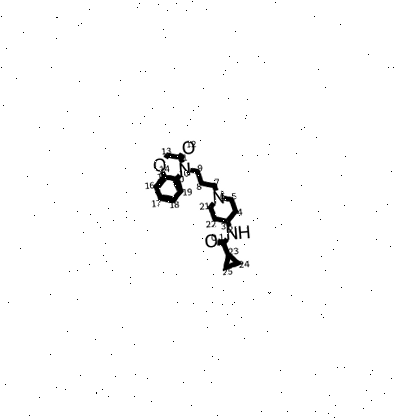 O=C(NC1CCN(CCCN2C(=O)COc3ccccc32)CC1)C1CC1